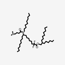 CCCCCCCCCCN(C(=O)CCCN(C)C)C(CCCCCCCCC)CCCCCCC(F)(F)C(=O)OCC(CCCCCC)CCCCCCCC